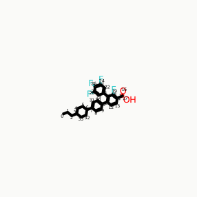 CCCC1CCC(c2ccc(-c3ccc(C(=O)O)c(F)c3-c3cc(F)c(F)c(F)c3)cc2)CC1